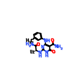 CC[C@@H](Nc1nc(Nc2cccc(C)c2)c(C(N)=O)c(=O)[nH]1)C(N)=O